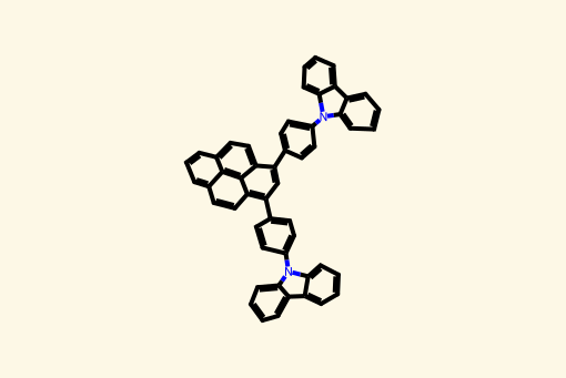 c1cc2ccc3c(-c4ccc(-n5c6ccccc6c6ccccc65)cc4)cc(-c4ccc(-n5c6ccccc6c6ccccc65)cc4)c4ccc(c1)c2c34